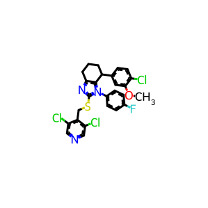 COc1cc(C2CCCc3nc(SCc4c(Cl)cncc4Cl)n(-c4ccc(F)cc4)c32)ccc1Cl